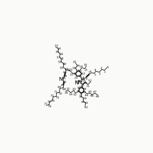 CCCCCCCC#CC1=C(c2cc(CCC)c(CCC)c(CCC)c2)[N+](=[N-])C(c2cc(CCCCC)c(CCCCC)c(CCCCC)c2)=C1CC.CCCCCCCCCCC#[C][Ni][C]#CCCCCCCCCCC